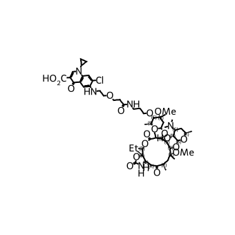 CC[C@H]1OC(=O)C(C)[C@@H](OC2C[C@@](C)(OC)[C@@H](OCCCNC(=O)CCOCCNc3cc4c(=O)c(C(=O)O)cn(C5CC5)c4cc3Cl)[C@H](C)O2)[C@H](C)[C@@H](O[C@@H]2O[C@H](C)C[C@H](N(C)C)[C@H]2O)[C@](C)(OC)C[C@@H](C)C(=O)[C@H](C)[C@H]2NC(=O)O[C@@]21C